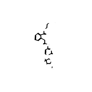 CCCCCCCCCCCCOC(=O)c1ccccc1CC(=O)Nc1ccn([C@@H]2O[C@H](CO)[C@@H](O)C2(F)F)c(=O)n1